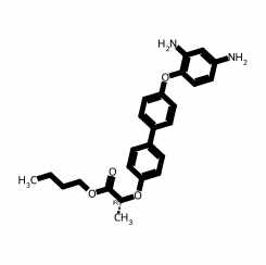 CCCCOC(=O)[C@@H](C)Oc1ccc(-c2ccc(Oc3ccc(N)cc3N)cc2)cc1